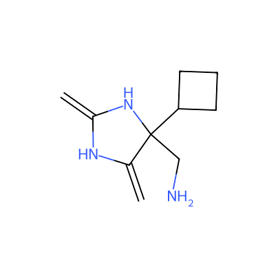 C=C1NC(=C)C(CN)(C2CCC2)N1